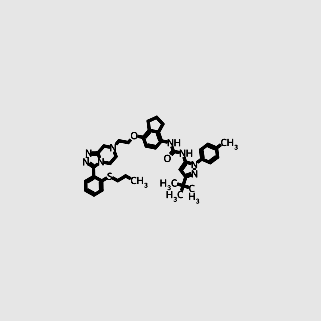 CCCSc1ccccc1-c1nnc2n1CCN(CCOc1ccc(NC(=O)Nc3cc(C(C)(C)C)nn3-c3ccc(C)cc3)c3c1CCC3)C2